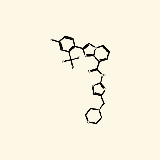 O=C(Nc1nc(CN2CCOCC2)cs1)c1cccn2cc(-c3ccc(F)cc3C(F)(F)F)nc12